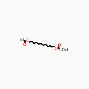 CCCCCCCCC(=O)OCCCCCCCCCCCCOC(=O)CC